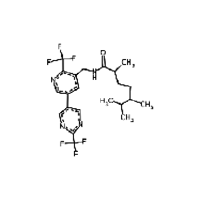 CC(CCC(C)C(C)C)C(=O)NCc1cc(-c2cnc(C(F)(F)F)nc2)cnc1C(F)(F)F